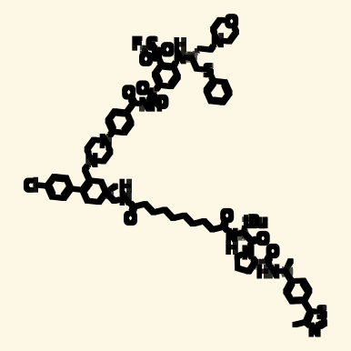 Cc1ncsc1-c1ccc([C@H](C)NC(=O)[C@@H]2CCCN2C(=O)[C@@H](NC(=O)CCCCCCCCC(=O)NC[C@]2(C)CCC(c3ccc(Cl)cc3)=C(CN3CCN(c4ccc(C(=O)NS(=O)(=O)c5ccc(N[C@H](CCN6CCOCC6)CSc6ccccc6)c(S(=O)(=O)C(F)(F)F)c5)cc4)CC3)C2)C(C)(C)C)cc1